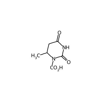 CC1CC(=O)NC(=O)N1C(=O)O